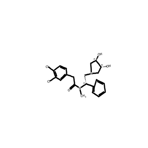 CN(C(=O)Cc1ccc(Cl)c(Cl)c1)[C@H](CN1C[C@@H](O)[C@H](O)C1)c1ccccc1